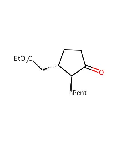 CCCCC[C@@H]1C(=O)CC[C@H]1CC(=O)OCC